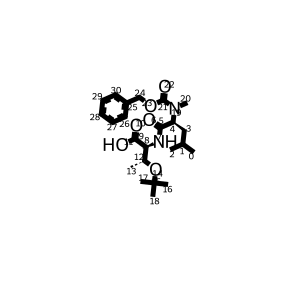 CC(C)C[C@@H](C(=O)N[C@H](C(=O)O)[C@@H](C)OC(C)(C)C)N(C)C(=O)OCc1ccccc1